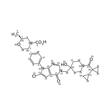 C[C@H]1CN(C(=O)O)[C@H](c2ccc(-n3c(Cl)cc4c(=O)n(CC5(O)CCN(C(=O)C6(C7CC7)CC6)CC5)cnc43)cc2)CO1